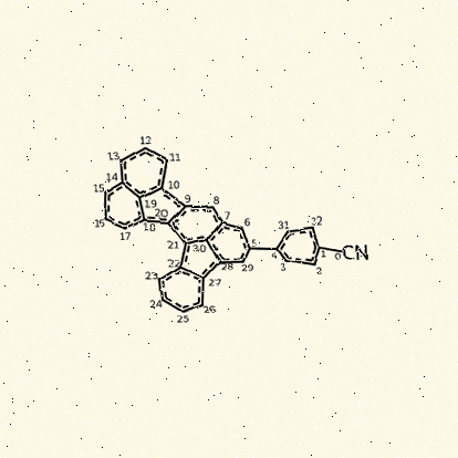 N#Cc1ccc(-c2cc3cc4c5cccc6cccc(c65)c4c4c5ccccc5c(c2)c34)cc1